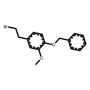 COc1cc(CCBr)ccc1OCc1ccccc1